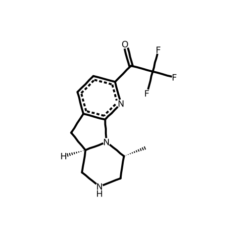 C[C@@H]1CNC[C@H]2Cc3ccc(C(=O)C(F)(F)F)nc3N21